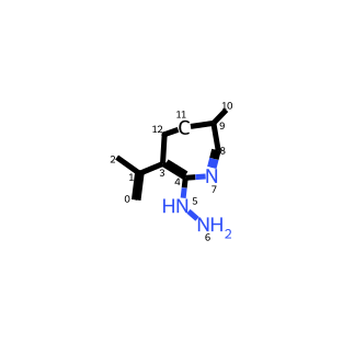 C=C(C)C1=C(NN)N=CC(C)CC1